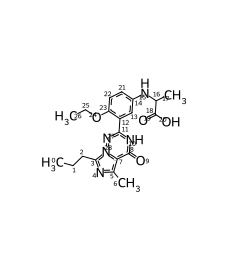 CCCc1nc(C)c2c(=O)[nH]c(-c3cc(NC(C)C(=O)O)ccc3OCC)nn12